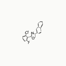 Fc1cccc(Cl)c1C1=NC(c2ccc3ccccc3c2)CO1